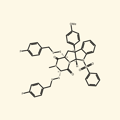 COc1ccc([C@]23C[C@]4(SSCc5ccc(F)cc5)C(=O)N(C)[C@@H](SSCc5ccc(F)cc5)C(=O)N4[C@H]2N(S(=O)(=O)c2ccccc2)c2ccccc23)cc1